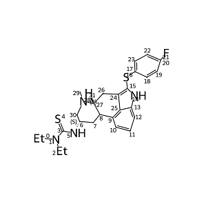 CCN(CC)C(=S)N[C@H]1CC2c3cccc4[nH]c(Sc5ccc(F)cc5)c(c34)C[C@H]2N(C)C1